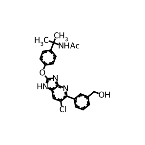 CC(=O)NC(C)(C)c1ccc(Oc2nc3nc(-c4cccc(CO)c4)c(Cl)cc3[nH]2)cc1